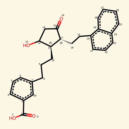 O=C(O)c1cccc(CCC[C@H]2C(O)CC(=O)[C@@H]2CCc2cccc3ccccc23)c1